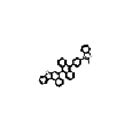 Cc1nc2ccccc2n1-c1ccc(-c2c3ccccc3c(-c3cc4oc5ccccc5c4c4ccccc34)c3ccccc23)cc1